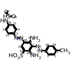 Cc1ccc(/N=N/c2c(N)c(/N=N/c3ccc(N[SH](=O)=O)cc3)cc(S(=O)(=O)O)c2N)cc1